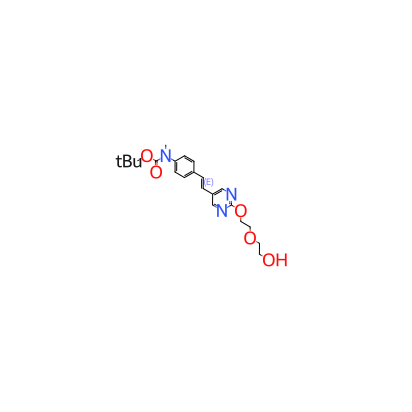 CN(C(=O)OC(C)(C)C)c1ccc(/C=C/c2cnc(OCCOCCO)nc2)cc1